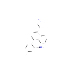 C=C(/C(Cl)=C/N)c1ccccc1C(=C)c1ccc(C)cc1C#N